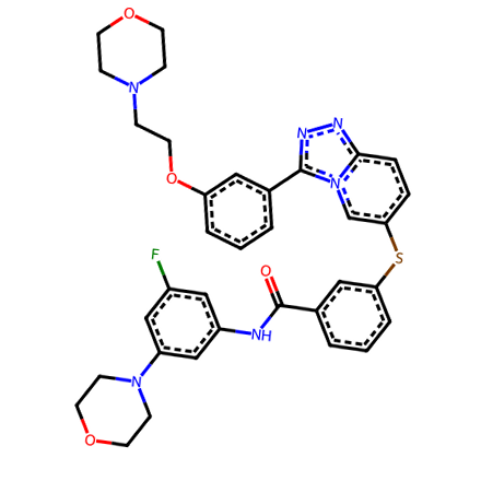 O=C(Nc1cc(F)cc(N2CCOCC2)c1)c1cccc(Sc2ccc3nnc(-c4cccc(OCCN5CCOCC5)c4)n3c2)c1